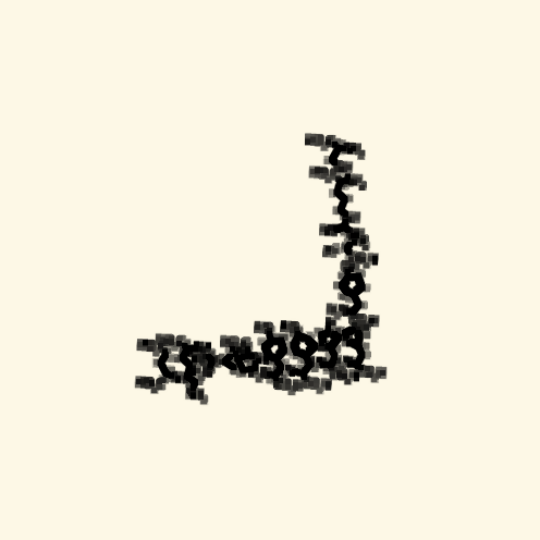 CC(C)[C@H](N)C(=O)O.C[C@H](N)C(=O)O.N=C(N)NCCC[C@H](N)C(=O)O.NCC(=O)O.NCCCC[C@H](N)C(=O)O.N[C@@H](CCC(=O)O)C(=O)O.N[C@@H](CO)C(=O)O.N[C@@H](Cc1c[nH]cn1)C(=O)O.N[C@@H](Cc1c[nH]cn1)C(=O)O.N[C@@H](Cc1ccc(O)cc1)C(=O)O.N[C@@H](Cc1ccc(O)cc1)C(=O)O.N[C@@H](Cc1ccc(O)cc1)C(=O)O.O=C(O)[C@@H]1CCCN1